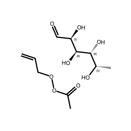 C=CCOOC(C)=O.C[C@H](O)[C@@H](O)[C@@H](O)[C@H](O)C=O